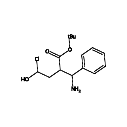 CC(C)(C)OC(=O)C(CC(O)Cl)C(N)c1ccccc1